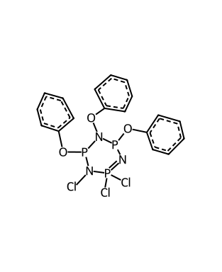 ClN1P(Oc2ccccc2)N(Oc2ccccc2)P(Oc2ccccc2)N=P1(Cl)Cl